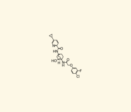 O=C(COc1ccc(Cl)c(F)c1)NC12CCC(NC(=O)c3ccc(C4CC4)cn3)(CC1)C[C@@H]2O